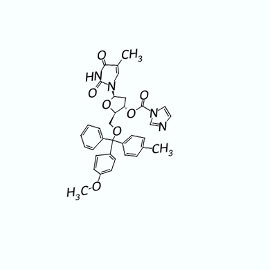 COc1ccc(C(OC[C@H]2O[C@@H](n3cc(C)c(=O)[nH]c3=O)C[C@@H]2OC(=O)n2ccnc2)(c2ccccc2)c2ccc(C)cc2)cc1